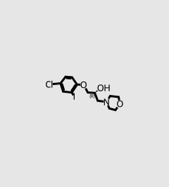 O[C@@H](COc1ccc(Cl)cc1I)CN1CCOCC1